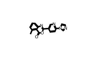 Cc1cccc2nc(-c3ccc(-n4ccnc4)nc3)oc(=O)c12